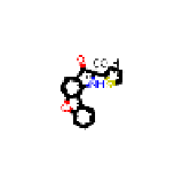 O=C(O)[C@]1(c2cccs2)Nc2c(ccc3oc4ccccc4c23)C1=O